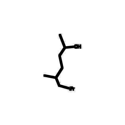 CC(C)CC(C)CCC(C)O